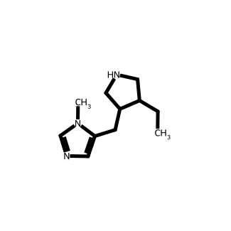 CCC1CNCC1Cc1cncn1C